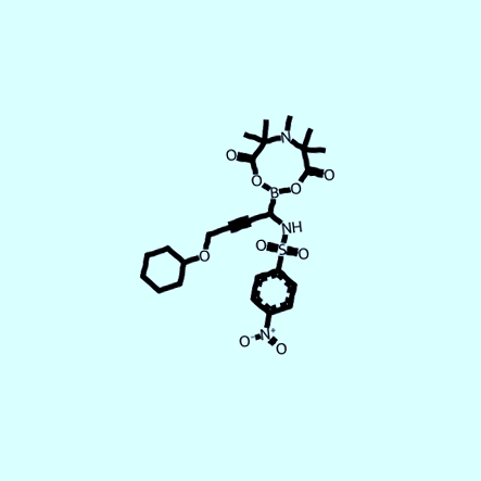 CN1C(C)(C)C(=O)OB(C(C#CCOC2CCCCC2)NS(=O)(=O)c2ccc([N+](=O)[O-])cc2)OC(=O)C1(C)C